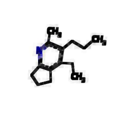 CCCc1c(C)nc2c(c1CC)CCC2